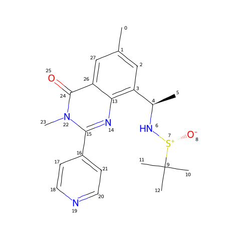 Cc1cc([C@@H](C)N[S@+]([O-])C(C)(C)C)c2nc(-c3ccncc3)n(C)c(=O)c2c1